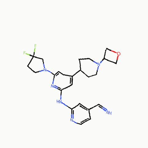 N=Cc1ccnc(Nc2cc(C3CCN(C4COC4)CC3)cc(N3CCC(F)(F)C3)n2)c1